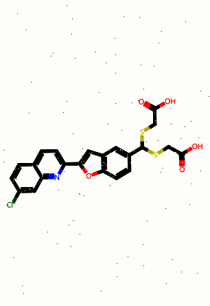 O=C(O)CSC(SCC(=O)O)c1ccc2oc(-c3ccc4ccc(Cl)cc4n3)cc2c1